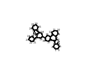 c1ccc2c(c1)sc1c3ccccc3c3cc(-c4cc5c6ccccc6n6c7ccccc7c(c4)c56)ccc3c21